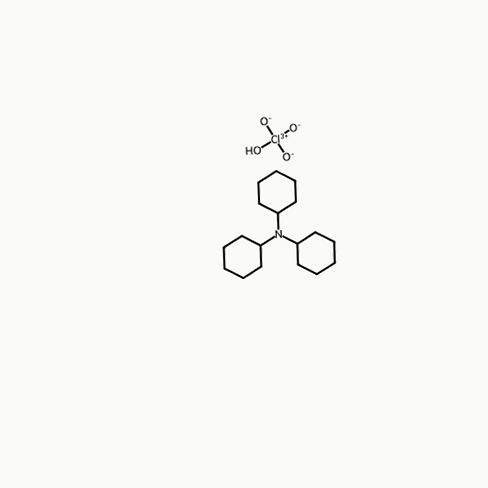 C1CCC(N(C2CCCCC2)C2CCCCC2)CC1.[O-][Cl+3]([O-])([O-])O